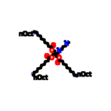 CCCCCCCC/C=C\CCCCCCCC(=O)OCC(COC(=O)CCCCCCC/C=C\CCCCCCCC)(COC(=O)CCCCCCC/C=C\CCCCCCCC)CN(C)CCCN(C)C